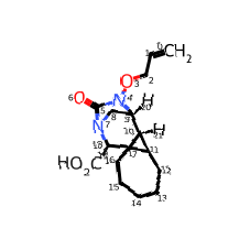 C=CCON1C(=O)N2C[C@H]1[C@@H]1C3CCCCCC31[C@H]2C(=O)O